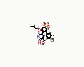 CCCCOc1cc(S(C)(=O)=O)cc(-c2ccc(Cl)cc2)c1-c1cncc(CO)c1